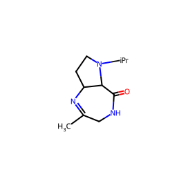 CC1=NC2CCN(C(C)C)C2C(=O)NC1